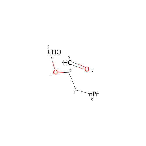 CCCCCO[C]=O.[CH]=O